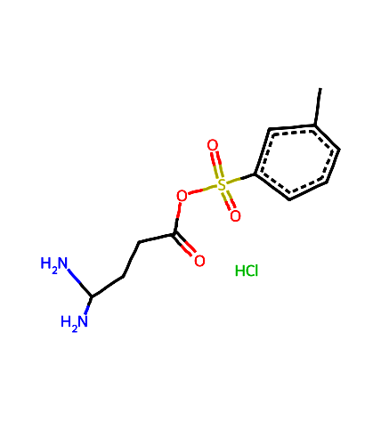 Cc1cccc(S(=O)(=O)OC(=O)CCC(N)N)c1.Cl